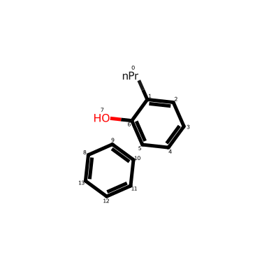 CCCc1ccccc1O.c1ccccc1